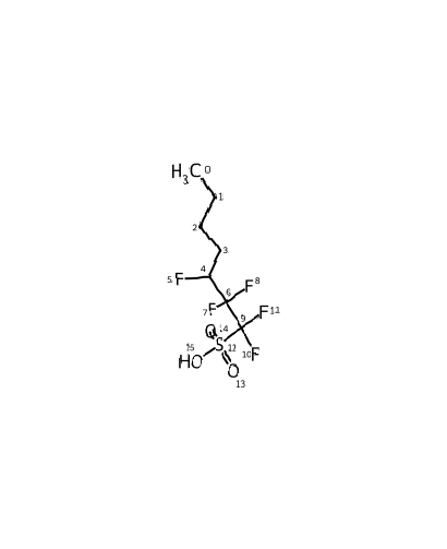 CCCCC(F)C(F)(F)C(F)(F)S(=O)(=O)O